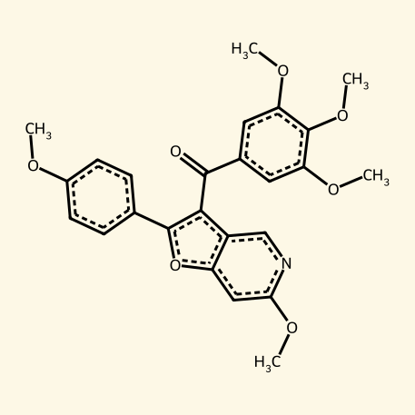 COc1ccc(-c2oc3cc(OC)ncc3c2C(=O)c2cc(OC)c(OC)c(OC)c2)cc1